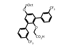 CCCCCCCCOc1cc(-c2cccc(C(F)(F)F)c2)c(OCC(=O)O)c(-c2cccc(C(F)(F)F)c2)c1